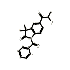 CC(Cl)C(=O)c1ccc2c(c1)C(C)(C)C(=O)N2C(=O)c1ccccc1